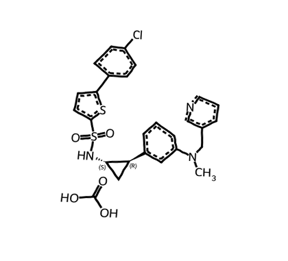 CN(Cc1cccnc1)c1cccc([C@H]2C[C@@H]2NS(=O)(=O)c2ccc(-c3ccc(Cl)cc3)s2)c1.O=C(O)O